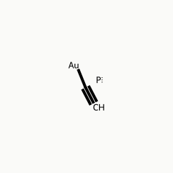 C#[C][Au].[P]